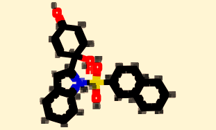 O=C1C=CC(O)(c2cc3ccccc3n2S(=O)(=O)c2ccc3ccccc3c2)C=C1